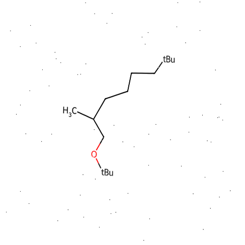 CC(CCCCC(C)(C)C)COC(C)(C)C